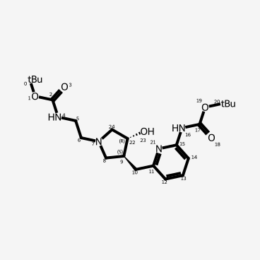 CC(C)(C)OC(=O)NCCN1C[C@H](Cc2cccc(NC(=O)OC(C)(C)C)n2)[C@@H](O)C1